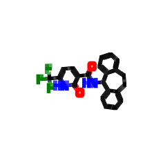 O=C(NC1c2ccccc2CCc2ccccc21)c1ccc(C(F)(F)F)[nH]c1=O